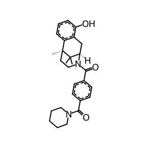 CC1(C)[C@H]2Cc3c(O)cccc3[C@]1(C)CCN2C(=O)c1ccc(C(=O)N2CCCCC2)cc1